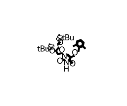 Cc1cccc(C)c1COCc1cn([C@H]2C[C@H](O[Si](C)(C)C(C)(C)C)[C@@H](CO[Si](C)(C)C(C)(C)C)O2)c(=O)[nH]c1=O